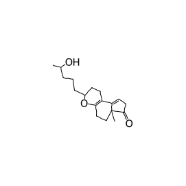 CC(O)CCCC1CCC2=C(CCC3(C)C(=O)CC=C23)O1